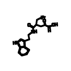 CC(C)CC(CC(=O)NO)C(=O)NCCc1c[nH]c2ccccc12